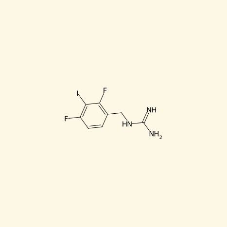 N=C(N)NCc1ccc(F)c(I)c1F